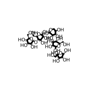 OC1OC[C@@H](O)[C@H](O)[C@H]1O.OC[C@H]1OC(O)[C@@H](O)[C@@H](O)[C@@H]1O.OC[C@H]1O[C@@H](O[C@H]2[C@H](O)[C@@H](O)[C@H](O)O[C@@H]2CO)[C@H](O)[C@@H](O)[C@@H]1O.OC[C@H]1O[C@](O)(CO)[C@@H](O)[C@@H]1O